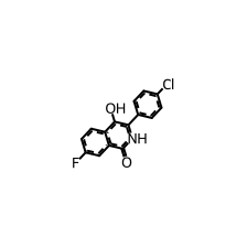 O=c1[nH]c(-c2ccc(Cl)cc2)c(O)c2ccc(F)cc12